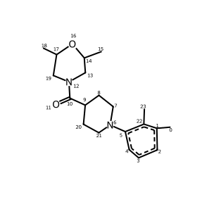 Cc1cccc(N2CCC(C(=O)N3CC(C)OC(C)C3)CC2)c1C